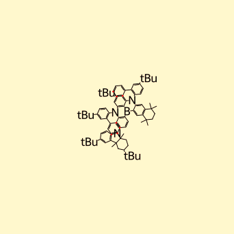 CC(C)(C)c1ccc(N2c3cc(N4c5ccc(C(C)(C)C)cc5C5(C)CC(C(C)(C)C)CCC45C)ccc3B3c4cc5c(cc4N(c4ccc(C(C)(C)C)cc4-c4ccccc4)c4cc(C(C)(C)C)cc2c43)C(C)(C)CCC5(C)C)c(-c2ccccc2)c1